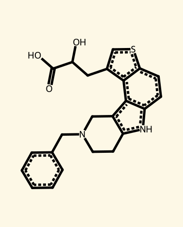 O=C(O)C(O)Cc1csc2ccc3[nH]c4c(c3c12)CN(Cc1ccccc1)CC4